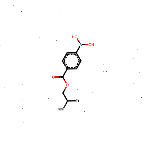 CCCCC(CC)COC(=O)c1ccc(B(O)O)cc1